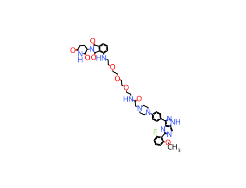 COc1cccc(F)c1-c1ncc2[nH]nc(-c3ccc(N4CCN(CC(=O)NCCOCCOCCOCCNc5cccc6c5C(=O)N(C5CCC(=O)NC5=O)C6=O)CC4)cc3)c2n1